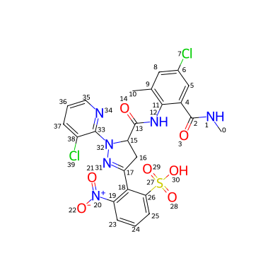 CNC(=O)c1cc(Cl)cc(C)c1NC(=O)C1CC(c2c([N+](=O)[O-])cccc2S(=O)(=O)O)=NN1c1ncccc1Cl